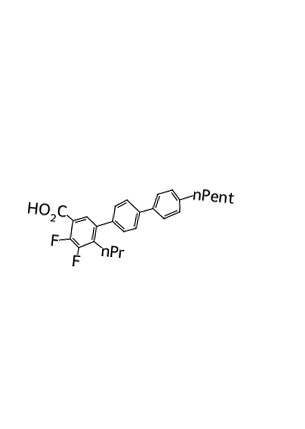 CCCCCc1ccc(-c2ccc(-c3cc(C(=O)O)c(F)c(F)c3CCC)cc2)cc1